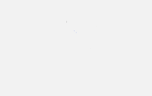 C=CCC1=CN2C(=O)CC2SC1